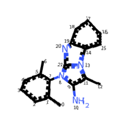 Cc1cccc(C)c1-n1c(N)c(C)n2c3ccccc3nc12